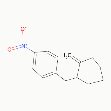 C=C1CCCCC1Cc1ccc([N+](=O)[O-])cc1